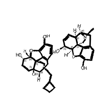 CN1CC[C@]23c4c5ccc(O)c4O[C@H]2[C@@H](O)C=C[C@H]3[C@H]1C5.Oc1ccc2c3c1O[C@H]1[C@@H](O)CC[C@@]4(O)[C@@H](C2)N(CC2CCC2)CC[C@]314